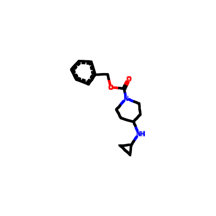 O=C(OCc1ccccc1)N1CCC(NC2CC2)CC1